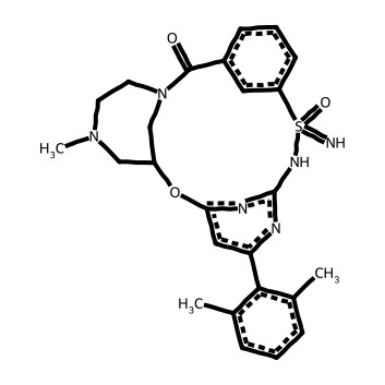 Cc1cccc(C)c1-c1cc2nc(n1)NS(=N)(=O)c1cccc(c1)C(=O)N1CCN(C)CC(C1)O2